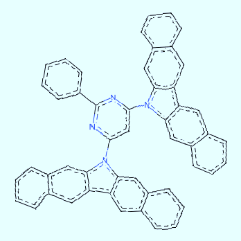 c1ccc(-c2nc(-n3c4cc5ccccc5cc4c4cc5ccccc5cc43)cc(-n3c4cc5ccccc5cc4c4cc5ccccc5cc43)n2)cc1